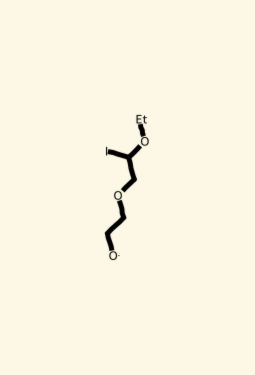 CCOC(I)COCC[O]